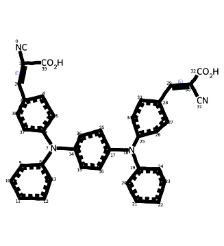 [C-]#[N+]/C(=C/c1ccc(N(c2ccccc2)c2ccc(N(c3ccccc3)c3ccc(/C=C(\C#N)C(=O)O)cc3)cc2)cc1)C(=O)O